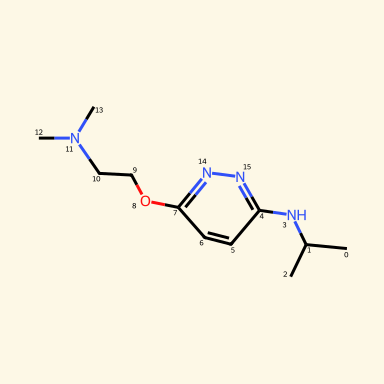 CC(C)Nc1ccc(OCCN(C)C)nn1